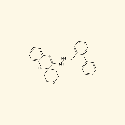 c1ccc(-c2ccccc2CNNC2=Nc3ccccc3NC23CCOCC3)cc1